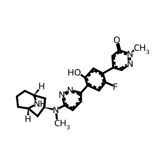 CN(c1ccc(-c2cc(F)c(-c3cnn(C)c(=O)c3)cc2O)nn1)[C@@H]1C[C@H]2CCC[C@@H](C1)N2